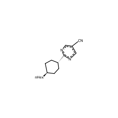 CCCCCC[C@H]1CC[C@H](c2ncc(C#N)cn2)CC1